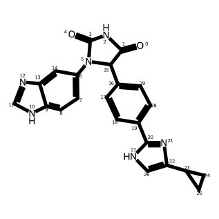 O=C1NC(=O)N(c2ccc3[nH]cnc3c2)C1c1ccc(-c2nc(C3CC3)c[nH]2)cc1